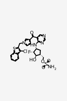 NS(=O)(=O)OC[C@H]1C[C@@H](Nc2ncncc2C(=O)c2ccn(Cc3sc4ccccc4c3Cl)c2)[C@@H](F)[C@@H]1O